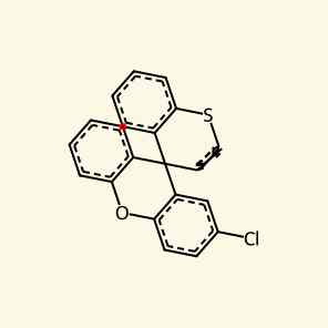 Clc1ccc2c(c1)C1(c3ccccc3O2)c2ccccc2Sc2ccccc21